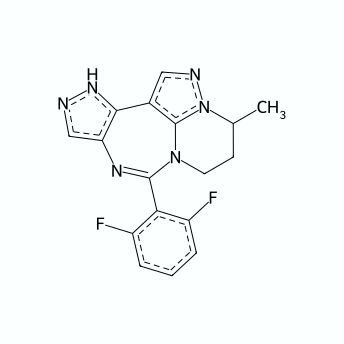 CC1CCN2C(c3c(F)cccc3F)=Nc3cn[nH]c3-c3cnn1c32